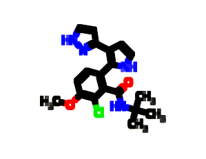 COc1ccc(-c2[nH]ccc2-c2cc[nH]n2)c(C(=O)NC(C)(C)C)c1Cl